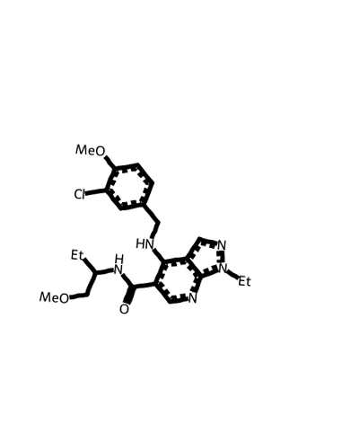 CCC(COC)NC(=O)c1cnc2c(cnn2CC)c1NCc1ccc(OC)c(Cl)c1